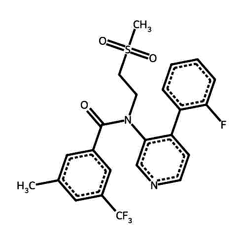 Cc1cc(C(=O)N(CCS(C)(=O)=O)c2cnccc2-c2ccccc2F)cc(C(F)(F)F)c1